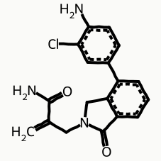 C=C(CN1Cc2c(cccc2-c2ccc(N)c(Cl)c2)C1=O)C(N)=O